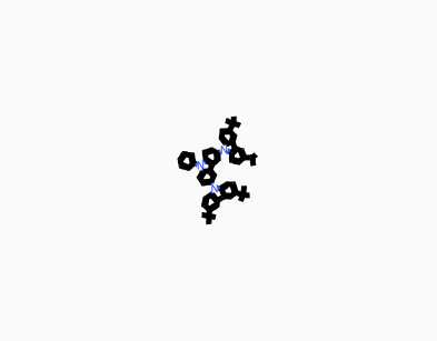 CC(C)c1ccc2c(c1)c1cc(C(C)(C)C)ccc1n2-c1ccc2c(c1)c1cc(-n3c4ccc(C(C)(C)C)cc4c4cc(C(C)(C)C)ccc43)ccc1n2-c1ccccc1